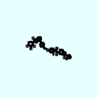 CN1CCC[C@@H]1c1cc2cnc(NC(=O)c3ccc(OCCc4ccc(-c5cccc6c5CN(C5CCC(=O)NC5=O)C6=O)cc4)cc3F)cc2[nH]1